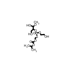 COC(O)C(CO)OP(=O)(OCCO)SCOC(=O)OC(C)C